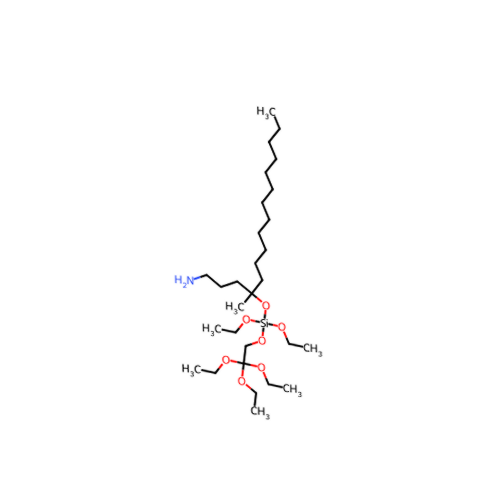 CCCCCCCCCCCCC(C)(CCCN)O[Si](OCC)(OCC)OCC(OCC)(OCC)OCC